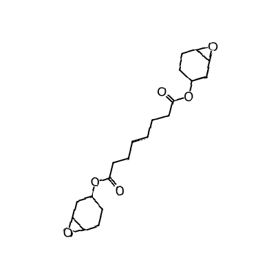 O=C(CCCCCCC(=O)OC1CCC2OC2C1)OC1CCC2OC2C1